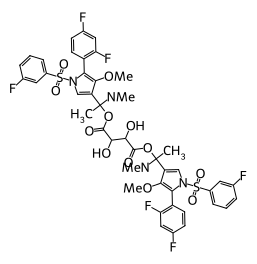 CNC(C)(OC(=O)C(O)C(O)C(=O)OC(C)(NC)c1cn(S(=O)(=O)c2cccc(F)c2)c(-c2ccc(F)cc2F)c1OC)c1cn(S(=O)(=O)c2cccc(F)c2)c(-c2ccc(F)cc2F)c1OC